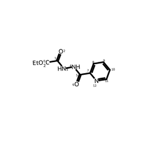 CCOC(=O)C(=O)NNC(=O)c1ccccn1